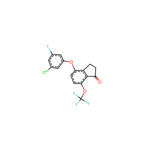 O=C1CCc2c(Oc3cc(F)cc(Cl)c3)ccc(OC(F)(F)F)c21